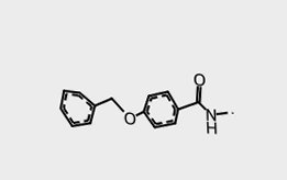 [CH2]NC(=O)c1ccc(OCc2ccccc2)cc1